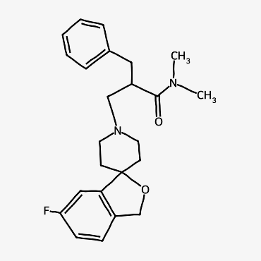 CN(C)C(=O)C(Cc1ccccc1)CN1CCC2(CC1)OCc1ccc(F)cc12